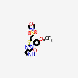 O=c1c2[nH]ccc2nc(SCCCS(=O)(=O)N2CCOCC2)n1-c1ccc(OCC(F)(F)F)cc1